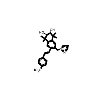 CC1(C)c2cc(C=Cc3ccc(C(=O)O)cc3)c(Cn3cccn3)cc2C(C)(C)[C@@H](O)[C@@H]1O